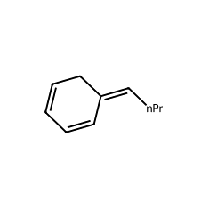 CCCC=C1C=CC=CC1